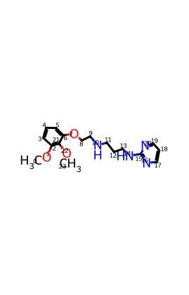 COc1cccc(OCCNCCCNc2ncccn2)c1OC